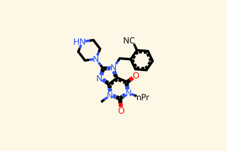 CCCn1c(=O)c2c(nc(N3CCNCC3)n2Cc2ccccc2C#N)n(C)c1=O